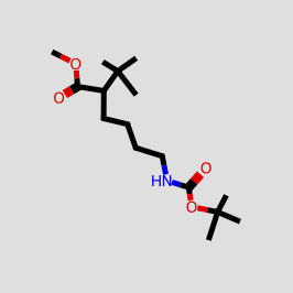 COC(=O)C(CCCCNC(=O)OC(C)(C)C)C(C)(C)C